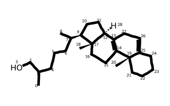 CC(CO)CCCC(C)[C@H]1CC[C@H]2C3=C(CC[C@]12C)[C@@]1(C)CCCCC1=CC3